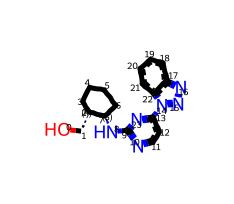 OC[C@@H]1CCCC[C@@H]1Nc1nccc(-n2nnc3ccccc32)n1